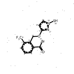 O=C(Br)c1cccc(C(F)(F)F)c1COc1ccn(S)n1